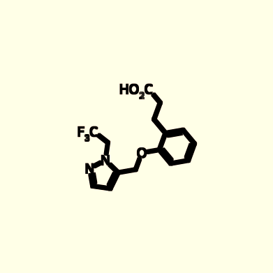 O=C(O)CCc1ccccc1OCc1ccnn1CC(F)(F)F